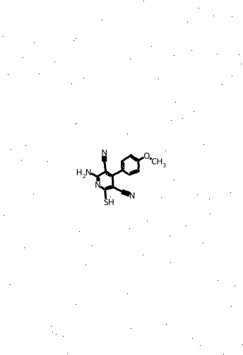 COc1ccc(-c2c(C#N)c(N)nc(S)c2C#N)cc1